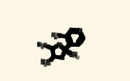 CC1OC(C)(c2ccncc2N)OC1C